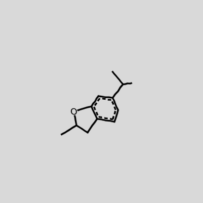 CC1Cc2ccc(C(C)C)cc2O1